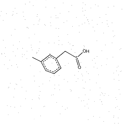 Cc1[c]c(CS(=O)O)ccc1